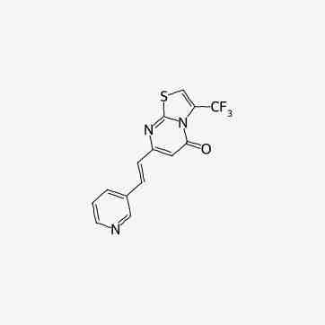 O=c1cc(/C=C/c2cccnc2)nc2scc(C(F)(F)F)n12